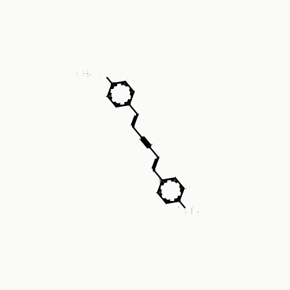 CCCCCCCc1ccc(/C=C/C#C/C=C/c2ccc(CCCCC)cc2)cc1